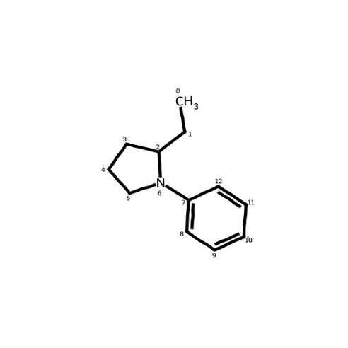 CCC1CCCN1c1cc[c]cc1